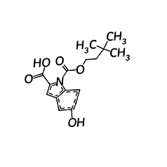 CC(C)(C)CCOC(=O)n1c(C(=O)O)cc2cc(O)ccc21